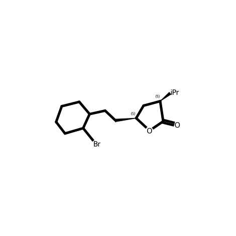 CC(C)[C@@H]1C[C@H](CCC2CCCCC2Br)OC1=O